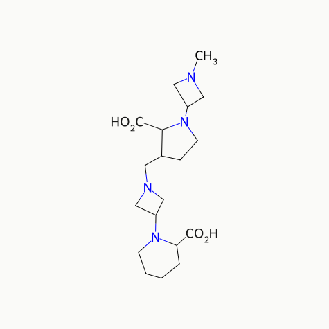 CN1CC(N2CCC(CN3CC(N4CCCCC4C(=O)O)C3)C2C(=O)O)C1